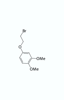 COc1ccc(OCCBr)cc1OC